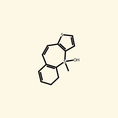 CS1(O)C2=C(C=CCC2)C=Cc2sccc21